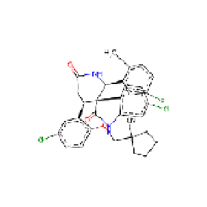 Cc1ccc(F)cc1[C@@H]1NC(=O)C[C@H](c2cc(Cl)ccc2OCC2(C#N)CCCC2)[C@@]12C(=O)Nc1cc(Cl)ccc12